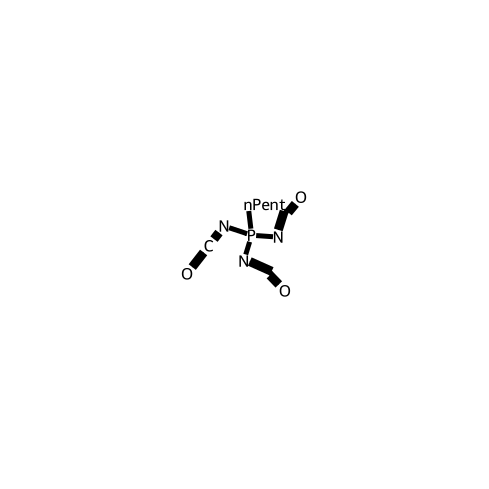 CCCCC[P](N=C=O)(N=C=O)N=C=O